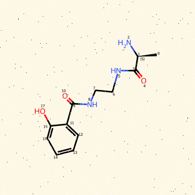 C[C@H](N)C(=O)NCCNC(=O)c1ccccc1O